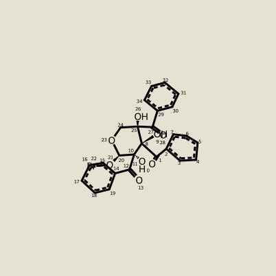 O=C(c1ccccc1)[C@]1(O)[C@@](O)(C(=O)c2ccccc2)[C@@H](OBr)OC[C@]1(O)C(=O)c1ccccc1